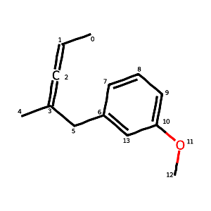 CC=C=C(C)Cc1cccc(OC)c1